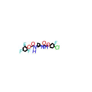 O=C(COc1ccc(Cl)c(F)c1)NC1CC2(NC(=O)COc3c(F)cc(F)cc3F)CC1C2